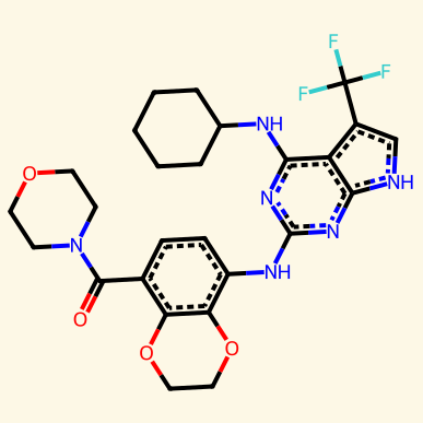 O=C(c1ccc(Nc2nc(NC3CCCCC3)c3c(C(F)(F)F)c[nH]c3n2)c2c1OCCO2)N1CCOCC1